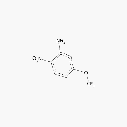 Nc1cc(OC(F)(F)F)ccc1[N+](=O)[O-]